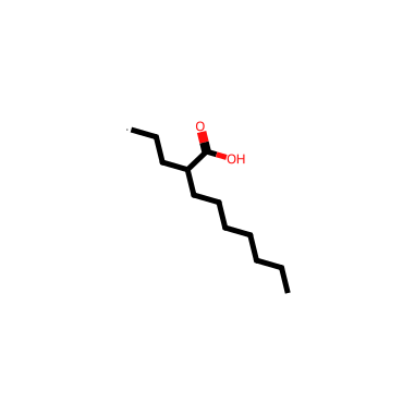 [CH2]CCC(CCCCCCC)C(=O)O